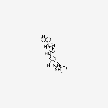 Cn1nc(-c2ncc(NC(=O)c3cnn(-c4cccc5ncccc45)c3C(F)(F)F)cc2C#N)nc1N